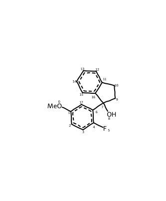 COc1ccc(F)c(C2(O)CCc3ccccc32)c1